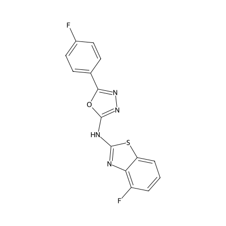 Fc1ccc(-c2nnc(Nc3nc4c(F)cccc4s3)o2)cc1